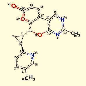 Cc1ccc([C@H]2C[C@@H]2COc2nc(C)ncc2-c2ccc(=O)oc2)nc1